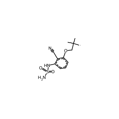 [CH2]C(C)(C)COc1cccc(NS(N)(=O)=O)c1C#N